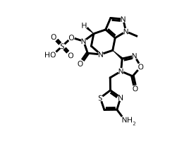 Cn1ncc2c1[C@@H](c1noc(=O)n1Cc1nc(N)cs1)N1C[C@@H]2N(OS(=O)(=O)O)C1=O